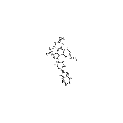 CC1CCC(C2=C(c3cc(-c4ccc(-n5cc6ncccc6n5)cc4)sc3C(N)=O)CCN(C)C2)CC1